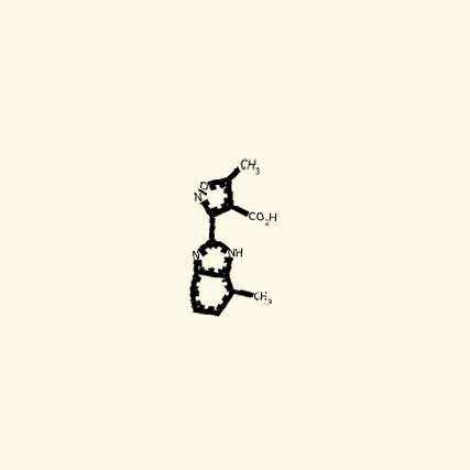 Cc1onc(-c2nc3cccc(C)c3[nH]2)c1C(=O)O